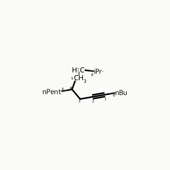 CCCCC#CC[C](C)CCCCC.C[C](C)C